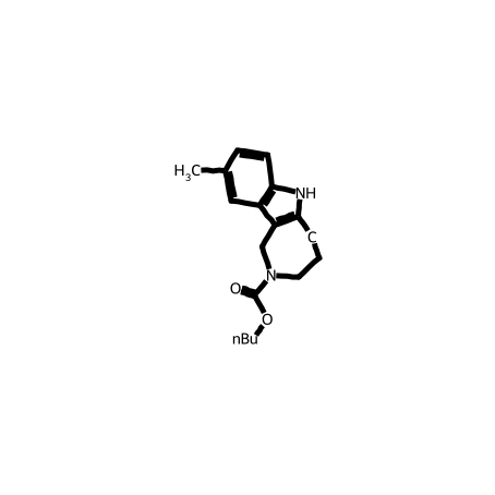 CCCCOC(=O)N1CCCc2[nH]c3ccc(C)cc3c2C1